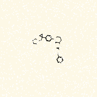 O=C(NC1CCCN(c2ccc(C3(CN4CCCC4)CC3)cc2)C1=O)OCc1ccccc1